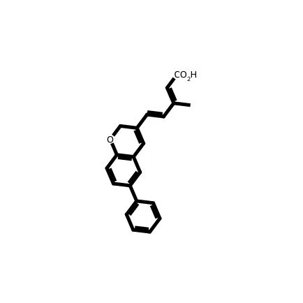 CC(C=CC1=Cc2cc(-c3ccccc3)ccc2OC1)=CC(=O)O